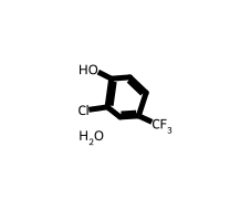 O.Oc1ccc(C(F)(F)F)cc1Cl